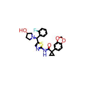 O=C(Nc1ncc(C(c2ccccc2F)N2CC[C@@H](O)C2)s1)C1(c2ccc3c(c2)OCO3)CC1